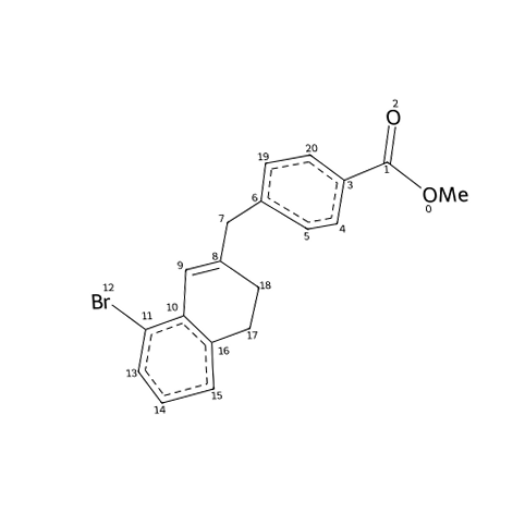 COC(=O)c1ccc(CC2=Cc3c(Br)cccc3CC2)cc1